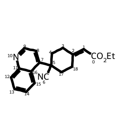 CCOC(=O)C=C1CCC(C#N)(c2ccnc3ccccc23)CC1